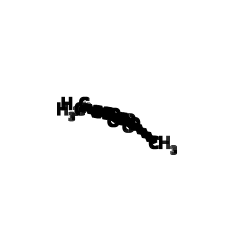 CCCCCCCCCOC(=O)Oc1ccc(C(=O)Oc2ccc(-c3ccc(CC[C@@H](C)CC)cc3)cc2)cc1